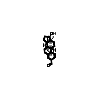 C[C@]12CC[C@H]3[C@@H](CCC4=CC(C=O)C=C[C@@]43C)[C@@H]1CC[C@@H]2O